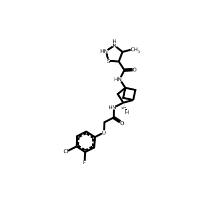 CC1NNSC1C(=O)NC12CC(C1)[C@@H](NC(=O)COc1ccc(Cl)c(F)c1)C2